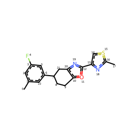 Cc1cc(F)cc(C2CCc3oc(-c4csc(C)n4)nc3C2)c1